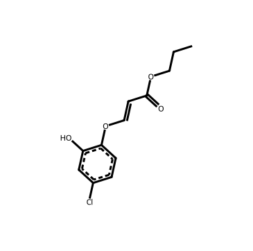 CCCOC(=O)C=COc1ccc(Cl)cc1O